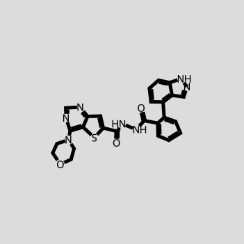 O=C(NNC(=O)c1ccccc1-c1cccc2[nH]ncc12)c1cc2ncnc(N3CCOCC3)c2s1